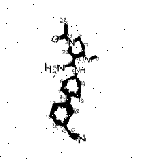 CNC1=C(C(N)Nc2ccc(-c3cccc(C#N)c3)cc2)CN(C(C)=O)CC1